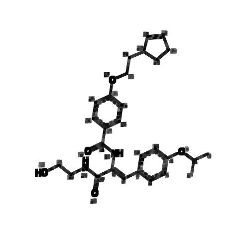 CC(C)Oc1ccc(C=C(NC(=O)c2ccc(OCCC3C=CCC3)cc2)C(=O)NCCO)cc1